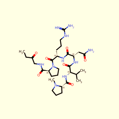 CCC(=O)CNC(=O)[C@@H]1CCCN1C(=O)[C@H](CCCNC(=N)N)NC(=O)[C@H](CC(N)=O)NC(=O)[C@@H](NC(=O)[C@@H]1CCCN1C)C(C)C